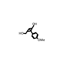 COc1ccc(C23C(CO)C2C3CO)cc1